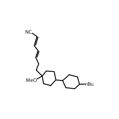 CCCCC1CCC(C2CCC(CCC=CC=CC#N)(OC)CC2)CC1